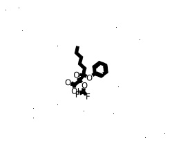 CCCCCC1(Oc2ccccc2)OC1(OC(F)F)C(=O)O